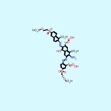 Nc1c(N=Nc2ccc(S(=O)(=O)CCOS(=O)(=O)O)cc2SOOO)cc2c(O)c(N=Nc3ccc4cc(S(=O)(=O)CCOS(=O)(=O)O)ccc4c3S(=O)(=O)O)c(SOOO)cc2c1S(=O)(=O)O